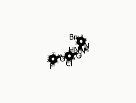 O=C(Nc1ncnc2ccc(Br)cc12)c1ccc(OCc2cccc(F)c2)c(Cl)c1